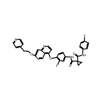 O=C(Nc1ccc(F)cc1)C1(C(=O)Nc2ccc(Oc3ccnc4cc(OCCc5ccncc5)ncc34)c(F)c2)CC1